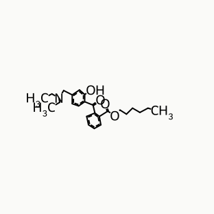 CCCCCCOC(=O)c1ccccc1C(=O)c1ccc(CN(CC)CC)cc1O